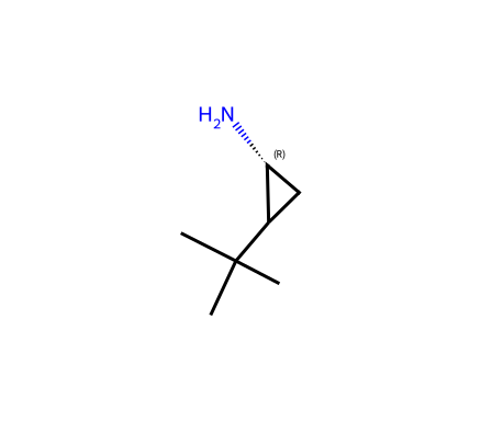 CC(C)(C)C1C[C@H]1N